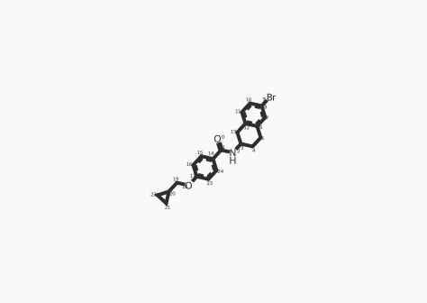 O=C(NC1CCc2cc(Br)ccc2C1)c1ccc(OCC2CC2)cc1